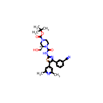 Cc1cc(-c2sc(NC(=O)N3CCN(C(=O)OC(C)(C)C)C[C@@H]3CO)nc2-c2cccc(C#N)c2)cc(C)n1